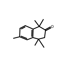 Cc1ccc2c(c1)C(C)(C)CC(=O)C2(C)C